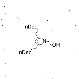 CCCCCCCCCCCCC1CN(CCO)CC(CCCCCCCCCCCC)O1